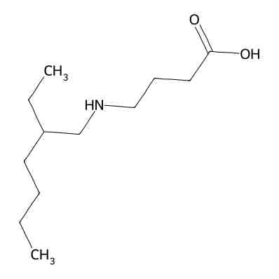 CCCCC(CC)CNCCCC(=O)O